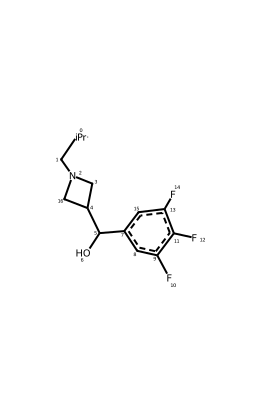 C[C](C)CN1CC(C(O)c2cc(F)c(F)c(F)c2)C1